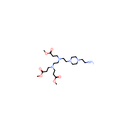 COC(=O)CCN(CCC(=O)OC)CCN(CCC(=O)OC)CCN1CCN(CCN)CC1